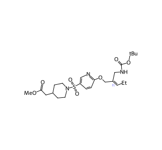 CC/C=C(\CNC(=O)OC(C)(C)C)COc1ccc(S(=O)(=O)N2CCC(CC(=O)OC)CC2)cn1